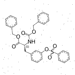 O=C(N[C@@H](Cc1cccc(OS(=O)(=O)c2ccccc2)c1)C(=O)OCc1ccccc1)OCc1ccccc1